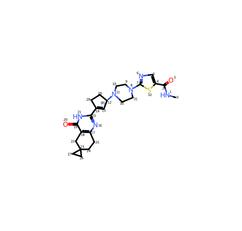 CNC(=O)c1cnc(N2CCN([C@H]3C=C(c4nc5c(c(=O)[nH]4)CC4(CC5)CC4)CC3)CC2)s1